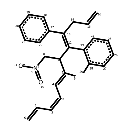 C=C/C=C\C=C(/C)C(C[N+](=O)[O-])/C(=C(/CC=C)c1ccccc1)c1ccccc1C